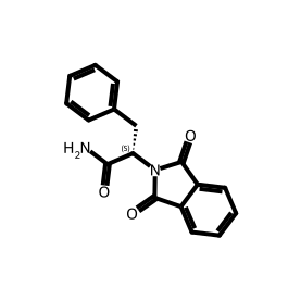 NC(=O)[C@H](Cc1ccccc1)N1C(=O)c2ccccc2C1=O